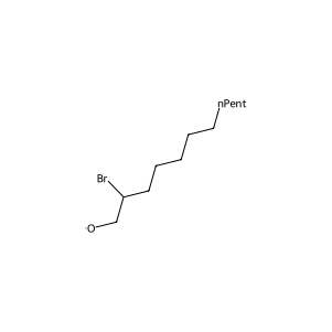 CCCCCCCCCCC(Br)C[O]